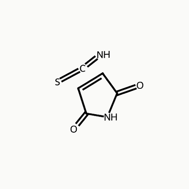 N=C=S.O=C1C=CC(=O)N1